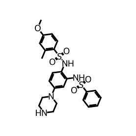 COc1ccc(S(=O)(=O)Nc2ccc(N3CCNCC3)cc2NS(=O)(=O)c2ccccc2)c(C)c1